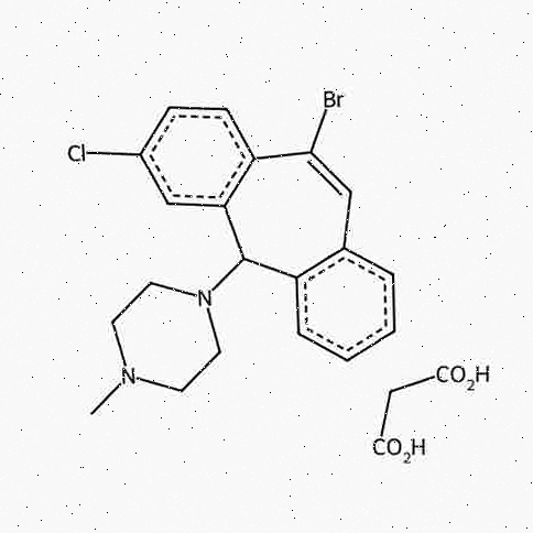 CN1CCN(C2c3ccccc3C=C(Br)c3ccc(Cl)cc32)CC1.O=C(O)CC(=O)O